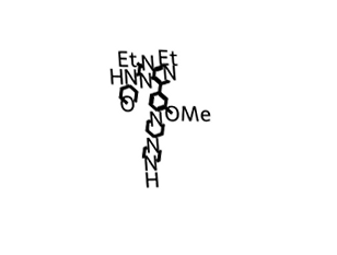 CCc1nc2c(CC)ncc(-c3ccc(N4CCC(N5CCNCC5)CC4)c(OC)c3)c2nc1NC1CCOCC1